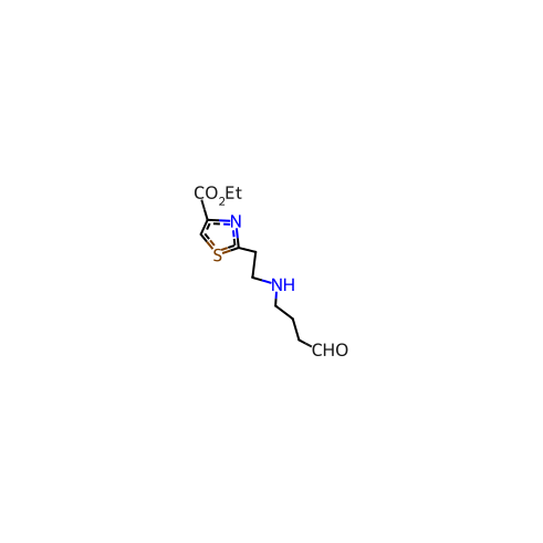 CCOC(=O)c1csc(CCNCCCC=O)n1